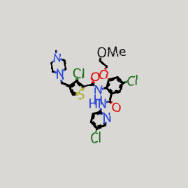 COCCOc1cc(Cl)cc(C(=O)Nc2ccc(Cl)cn2)c1NC(=O)c1scc(CN2CCN(C)CC2)c1Cl